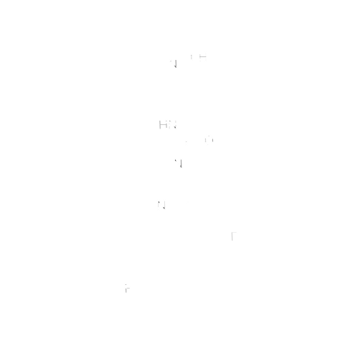 CN1CCCC1CNC(=O)N1CCN(c2ccc(F)cc2)c2cc(F)ccc21